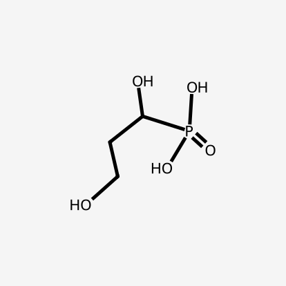 O=P(O)(O)C(O)CCO